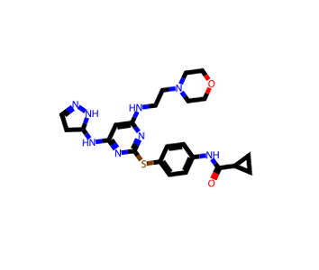 O=C(Nc1ccc(Sc2nc(NCCN3CCOCC3)cc(NC3CC=NN3)n2)cc1)C1CC1